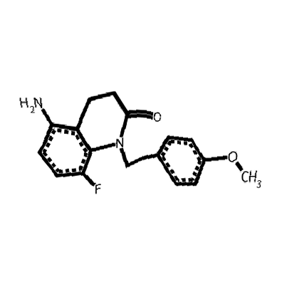 COc1ccc(CN2C(=O)CCc3c(N)ccc(F)c32)cc1